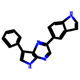 c1ccc(-c2c[nH]c3ncc(-c4ccc5[nH]ccc5c4)nc23)cc1